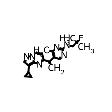 C=C(c1ccn2ncc(C3CC3)c2n1)c1cnc(NCC(C)(C)F)nc1C